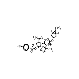 C[C@H]1[C@H]2C[C@@H](OC(=O)N[C@H](C(=O)N3C[C@@H](OS(=O)(=O)c4ccc(Br)cc4)C[C@H]3C(N)=O)C(C)(C)C)C[C@@H]12